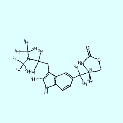 [2H]c1[nH]c2ccc(C([2H])([2H])[C@@]3([2H])COC(=O)N3)cc2c1CC([2H])([2H])N(C([2H])([2H])[2H])C([2H])([2H])[2H]